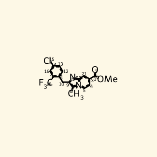 COC(=O)c1ccn2c(C)c(Cc3ccc(Cl)cc3C(F)(F)F)nc2c1